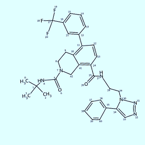 CC(C)(C)NC(=O)N1CCc2c(-c3cccc(C(F)(F)F)c3)ccc(C(=O)NCCn3nncc3-c3ccccc3)c2C1